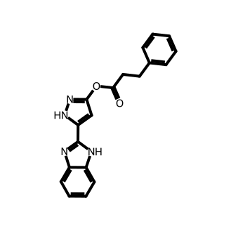 O=C(CCc1ccccc1)Oc1cc(-c2nc3ccccc3[nH]2)[nH]n1